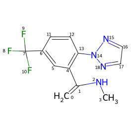 C=C(NC)c1cc(C(F)(F)F)ccc1-n1nccn1